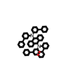 c1ccc(-c2cccc(N(c3cccc(-c4ccccc4)c3)c3c4ccccc4c(N(c4cccc(-c5ccccc5)c4)c4ccccc4-c4ccccc4)c4ccccc34)c2)cc1